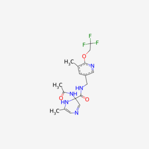 CC(=O)NC1(C(=O)NCc2cnc(OCC(F)(F)F)c(C)c2)C=NC=C(C)N1